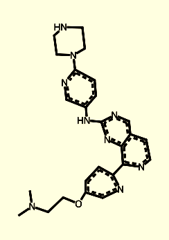 CN(C)CCOc1ccc(-c2nccc3cnc(Nc4ccc(N5CCNCC5)nc4)nc23)nc1